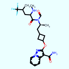 CNC(CC(C)C(F)(F)F)C(=O)N(C=O)[C@@H](C)CC1CC(Oc2nn3ccccc3c2C(N)=O)C1